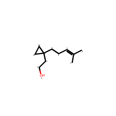 CC(C)=CCCC1(CCO)CC1